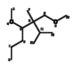 CCCC(OC)C(C)(COC)C(C)C